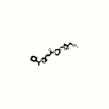 CC(c1ccccc1)n1cc(/C=C/C(=O)N2CCC[C@@H](Cn3cc(CN)nn3)C2)cn1